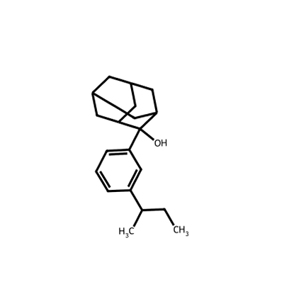 CCC(C)c1cccc(C2(O)C3CC4CC(C3)CC2C4)c1